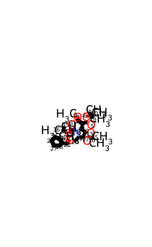 COC=C(C(=O)OC(C)(C)C)C1C2OC(C)(C)OC2C(COCc2ccccc2)N1C(=O)OC(C)(C)C